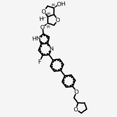 O[C@@H]1CO[C@H]2C1OC[C@H]2Oc1cc2nc(-c3ccc(-c4ccc(OCC5CCCO5)cc4)cc3)c(F)cc2[nH]1